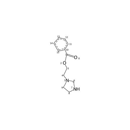 O=C(OCCN1[C]NCC1)c1ccccc1